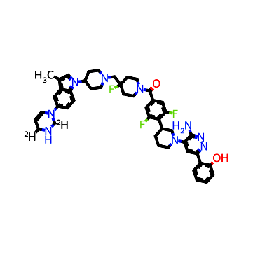 [2H]C1C=CN(c2ccc3c(c2)c(C)cn3C2CCN(CC3(F)CCN(C(=O)c4cc(F)c(C5CCCN(c6cc(-c7ccccc7O)nnc6N)C5)c(F)c4)CC3)CC2)[C@H]([2H])N1